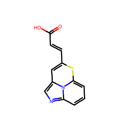 O=C(O)/C=C/C1=Cc2cnc3cccc(n23)S1